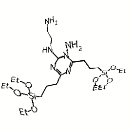 CCO[Si](CCCC1=NC(NCCN)N(N)C(CCC[Si](OCC)(OCC)OCC)=N1)(OCC)OCC